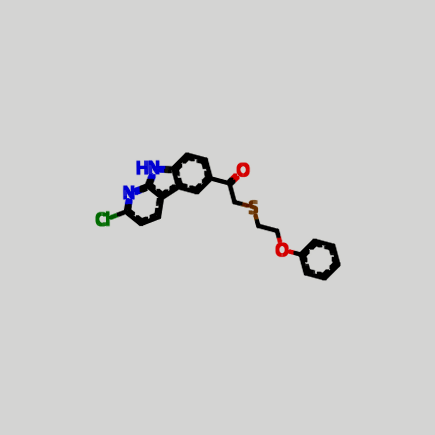 O=C(CSCCOc1ccccc1)c1ccc2[nH]c3nc(Cl)ccc3c2c1